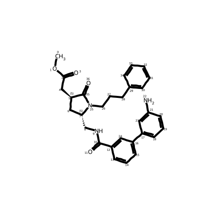 COC(=O)C[C@@H]1C[C@@H](CNC(=O)c2cccc(-c3cccc(N)c3)c2)N(CCCc2ccccc2)C1=O